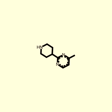 Cc1ccnc(C2CCNCC2)n1